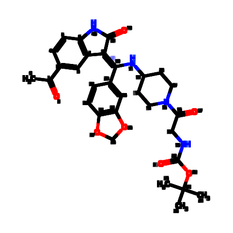 CC(=O)c1ccc2c(c1)/C(=C(/NC1CCN(C(=O)CNC(=O)OC(C)(C)C)CC1)c1ccc3c(c1)OCO3)C(=O)N2